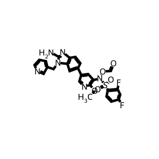 COc1ncc(-c2ccc3nc(N)n(Cc4cccnc4)c3c2)cc1N(OC=O)S(=O)(=O)c1ccc(F)cc1F